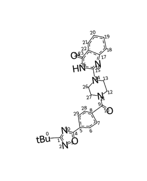 CC(C)(C)c1noc(-c2ccc(C(=O)N3CCN(c4nc5ccccc5c(=O)[nH]4)CC3)cc2)n1